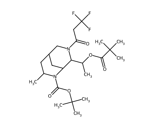 CC(OC(=O)C(C)(C)C)C1C2CC(CC(C)N2C(=O)OC(C)(C)C)CN1C(=O)CC(F)(F)F